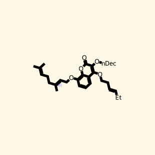 CCC=CCCOc1c(OCCCCCCCCCC)c(=O)oc2c(OC/C=C(\C)CCC=C(C)C)cccc12